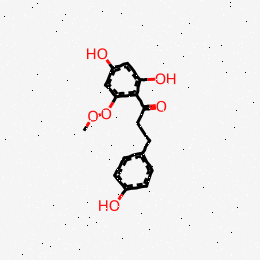 COOc1cc(O)cc(O)c1C(=O)CCc1ccc(O)cc1